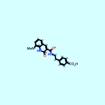 CNc1cccc2cc(C(=O)NCCc3ccc(C(=O)O)cc3)c(=O)[nH]c12